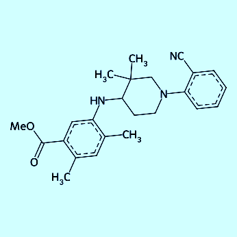 COC(=O)c1cc(NC2CCN(c3ccccc3C#N)CC2(C)C)c(C)cc1C